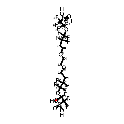 O=P(O)(O)C(F)(F)C(F)(F)OC(F)(F)C(F)(F)CCOCCOCCC(F)(F)C(F)(F)OC(F)(F)C(F)(F)P(=O)(O)O